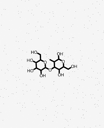 CC1C(O)OC(CO)C(O)C1OC1OC(CO)C(O)C(O)C1O